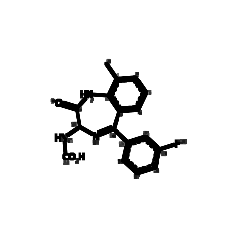 Cc1cccc2c1NC(=O)C(NC(=O)O)N=C2c1cccc(F)c1